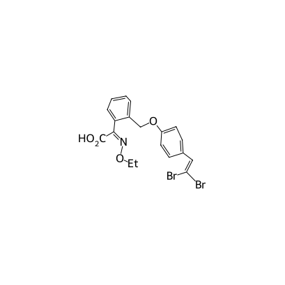 CCON=C(C(=O)O)c1ccccc1COc1ccc(C=C(Br)Br)cc1